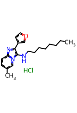 CCCCCCCCNc1c(-c2ccoc2)nc2ccc(C)cn12.Cl